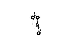 OC(CNCCOc1ccccc1)COc1cccc2[nH]c3ccccc3c12